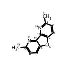 Cc1ccc2oc3ccc(C)nc3c2n1